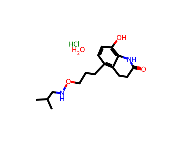 CC(C)CNOCCCc1ccc(O)c2c1CCC(=O)N2.Cl.O